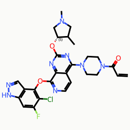 C=CC(=O)N1CCN(c2nc(O[C@@H]3CN(C)CC3C)nc3c(Oc4c(Cl)c(F)cc5[nH]ncc45)nccc23)CC1